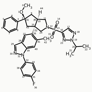 CO[C@@]1(c2ccccc2)C[C@H]2CN(S(=O)(=O)c3cnn(C(C)C)n3)C[C@@]2(c2cc3cnn(-c4ccc(F)cc4)c3cc2C)C1